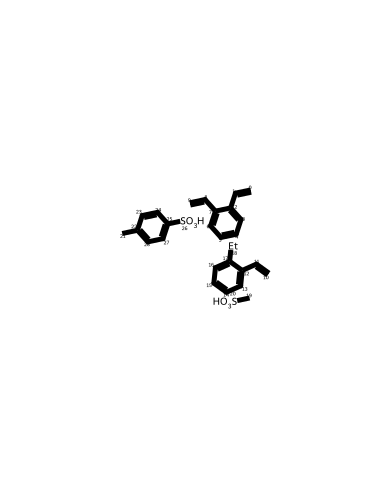 C=Cc1ccccc1C=C.C=Cc1ccccc1CC.CS(=O)(=O)O.Cc1ccc(S(=O)(=O)O)cc1